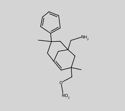 CC1(CO[N+](=O)[O-])C=C2CC(CN)(C1)CC(C)(c1ccccc1)C2